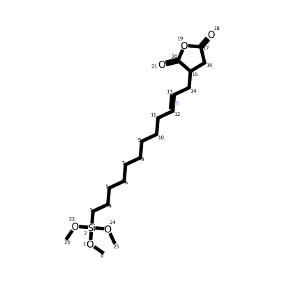 CO[Si](CCCCCCCCC/C=C/CC1CC(=O)OC1=O)(OC)OC